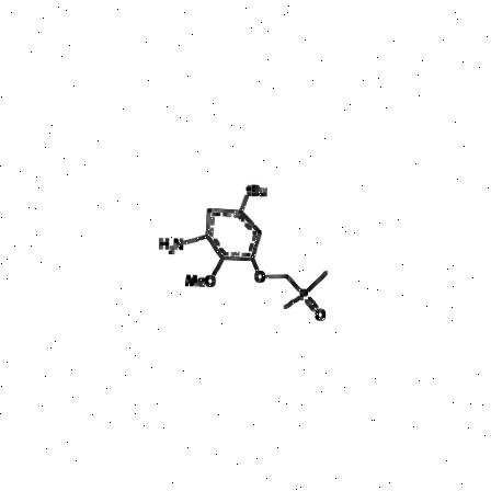 COc1c(N)cc(C(C)(C)C)cc1OCP(C)(C)=O